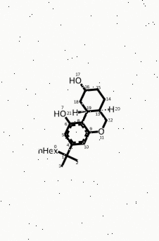 CCCCCCC(C)(C)c1cc(O)c2c(c1)OC[C@@H]1CCC(O)C[C@@H]21